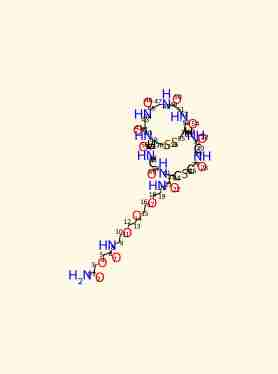 NC(=O)COCC(=O)NCCOCCOCCOCCNC(=O)C1CSCC(=O)NCC(=O)N[C@H]2CSSC[C@H](NC(=O)CNC(=O)CNC(=O)CNC2=O)C(=O)NCC(=O)N1